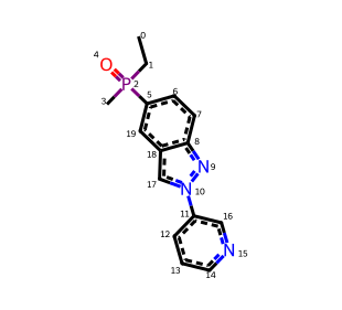 CCP(C)(=O)c1ccc2nn(-c3cccnc3)cc2c1